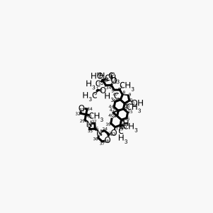 CCO[C@@H](C(C[C@@H](C)[C@H]1C[C@H](O)[C@@]2(C)C3CC[C@H]4C(C)(C)[C@@H](O[C@H]5CN(C6CN(CC7(C)COC7)C6)CCO5)CC[C@@]45C[C@@]35CC[C@]12C)OC)C(C)(C)O